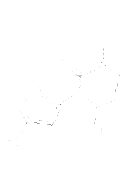 CN1CCC(O)N(c2cc(C(C)(C)C)on2)C1=O